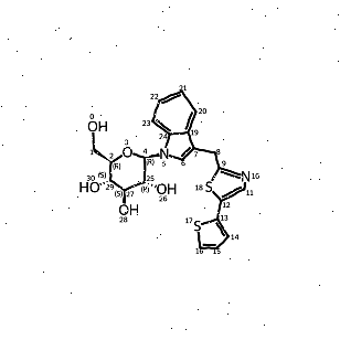 OC[C@H]1O[C@@H](n2cc(Cc3ncc(-c4cccs4)s3)c3ccccc32)[C@H](O)[C@@H](O)[C@@H]1O